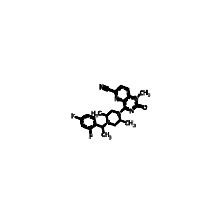 CC1CN(c2nc(=O)n(C)c3ccc(C#N)nc23)[C@@H](C)CN1C(C)c1ccc(F)cc1F